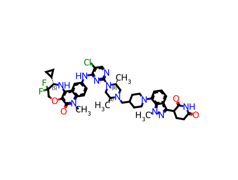 C[C@@H]1CN(CC2CCN(c3cccc4c(C5CCC(=O)NC5=O)nn(C)c34)CC2)[C@@H](C)CN1c1ncc(Cl)c(Nc2ccc3c(c2)c2c(c(=O)n3C)OCC(F)(F)[C@H](C3CC3)N2)n1